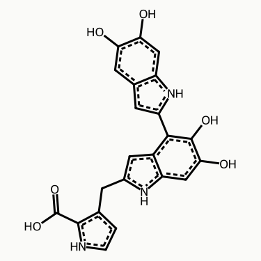 O=C(O)c1[nH]ccc1Cc1cc2c(-c3cc4cc(O)c(O)cc4[nH]3)c(O)c(O)cc2[nH]1